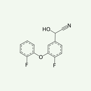 N#CC(O)c1ccc(F)c(Oc2ccccc2F)c1